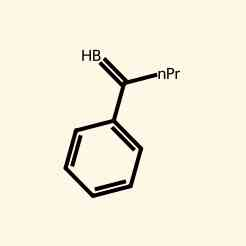 B=C(CCC)c1ccccc1